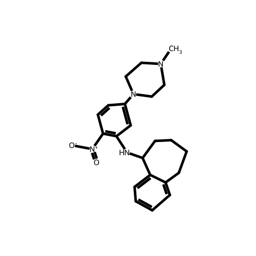 CN1CCN(c2ccc([N+](=O)[O-])c(NC3CCCCc4ccccc43)c2)CC1